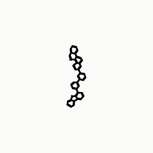 c1cc(-c2cccc(-c3cccc4c3sc3ccccc34)c2)cc(-c2ccc3c(ccc4c5ccccc5cnc34)c2)c1